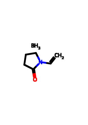 B.C=CN1CCCC1=O